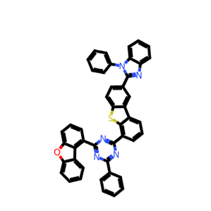 c1ccc(-c2nc(-c3cccc4c3sc3ccc(-c5nc6ccccc6n5-c5ccccc5)cc34)nc(-c3cccc4oc5ccccc5c34)n2)cc1